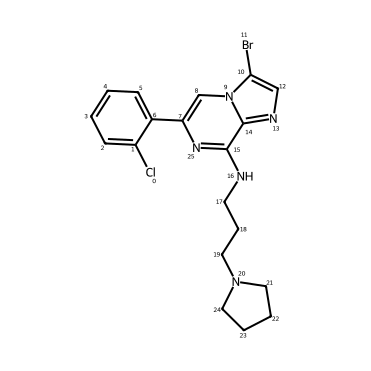 Clc1ccccc1-c1cn2c(Br)cnc2c(NCCCN2CCCC2)n1